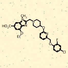 CCOc1cc(C(=O)O)cc2c1nc(CN1CCC(Oc3cccc(COc4ccc(Cl)cc4F)n3)CC1)n2C